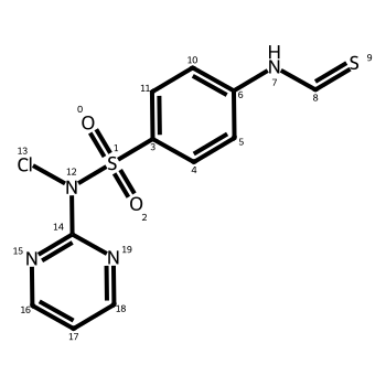 O=S(=O)(c1ccc(NC=S)cc1)N(Cl)c1ncccn1